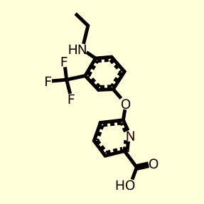 CCNc1ccc(Oc2cccc(C(=O)O)n2)cc1C(F)(F)F